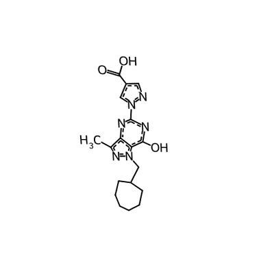 Cc1nn(CC2CCCCCC2)c2c(O)nc(-n3cc(C(=O)O)cn3)nc12